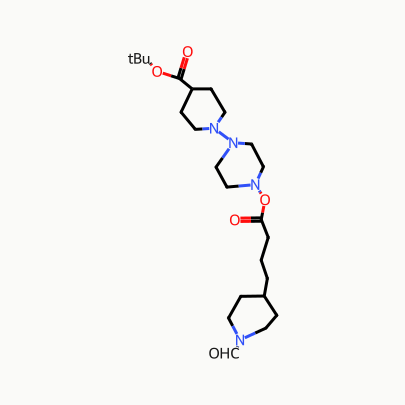 CC(C)(C)OC(=O)C1CCN(N2CCN(OC(=O)CCCC3CCN(C=O)CC3)CC2)CC1